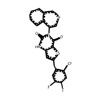 O=c1[nH]c2cc(-c3cc(F)c(F)cc3Cl)sc2c(=O)n1-c1cncc2ccccc12